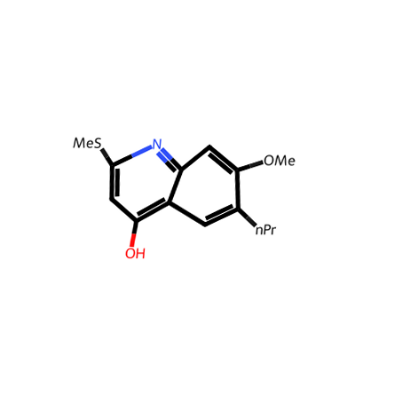 CCCc1cc2c(O)cc(SC)nc2cc1OC